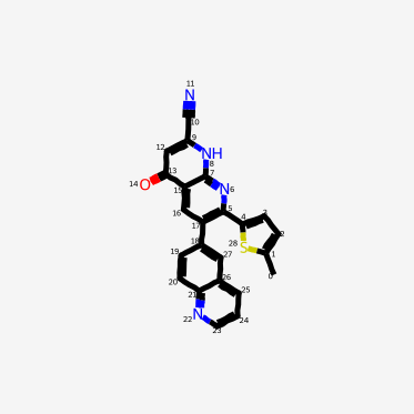 Cc1ccc(-c2nc3[nH]c(C#N)cc(=O)c3cc2-c2ccc3ncccc3c2)s1